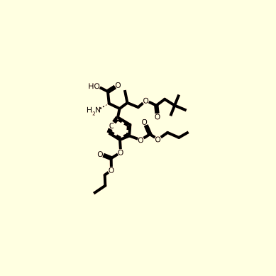 CCCOC(=O)Oc1ccc(C(C(C)COC(=O)CC(C)(C)C)[C@H](N)C(=O)O)cc1OC(=O)OCCC